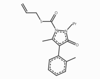 C=CCSC(=O)n1c(C)c(-c2ccccc2C)c(=O)n1C(C)C